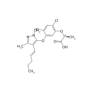 CCCC=Cc1c(C)nn(C)c1Oc1cc(O[C@@H](C)C(=O)O)c(Cl)cc1Cl